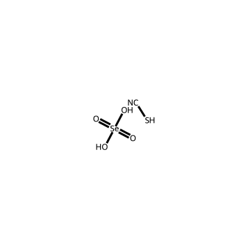 N#CS.O=[Se](=O)(O)O